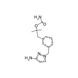 CC(C)(Cc1cccc(Cn2ccc(N)n2)c1)OC(N)=O